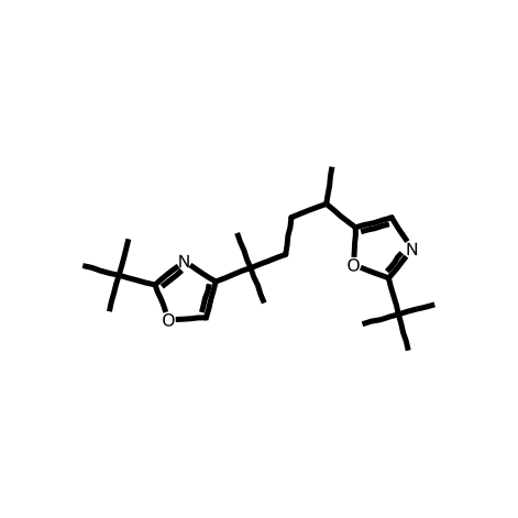 CC(CCC(C)(C)c1coc(C(C)(C)C)n1)c1cnc(C(C)(C)C)o1